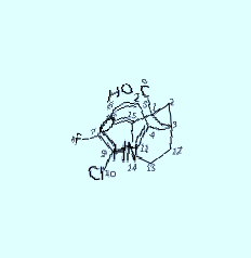 O=C(O)C12CC1(c1ccc(F)c(Cl)c1)CCNC2=O